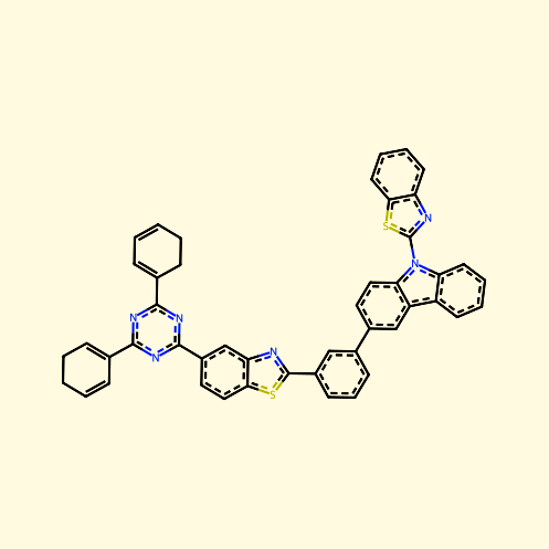 C1=CCCC(c2nc(C3=CCCC=C3)nc(-c3ccc4sc(-c5cccc(-c6ccc7c(c6)c6ccccc6n7-c6nc7ccccc7s6)c5)nc4c3)n2)=C1